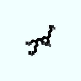 CCCCC(CC)CN(Cl)CC(CC)CCCC